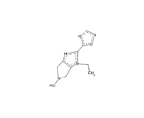 CCn1c(-c2ncno2)nc2c1CN(O)C2